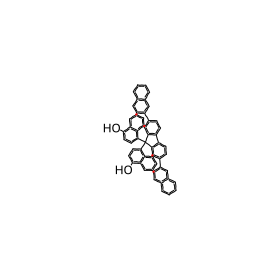 Oc1ccc(C2(c3ccc(O)c4ccccc34)c3cc(-c4ccc5ccccc5c4)ccc3-c3ccc(-c4ccc5ccccc5c4)cc32)c2ccccc12